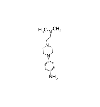 CN(C)CCN1CCN(c2ccc(N)cc2)CC1